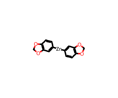 c1cc2c(c[c]1[Zn][c]1ccc3c(c1)OCO3)OCO2